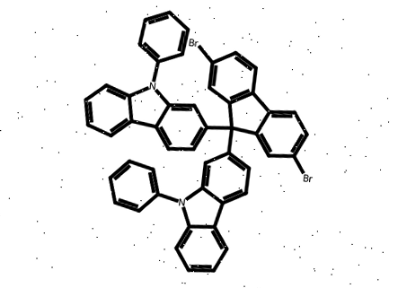 Brc1ccc2c(c1)C(c1ccc3c4ccccc4n(-c4ccccc4)c3c1)(c1ccc3c4ccccc4n(-c4ccccc4)c3c1)c1cc(Br)ccc1-2